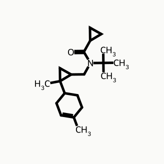 CC1=CCC(C2(C)CC2CN(C(=O)C2CC2)C(C)(C)C)CC1